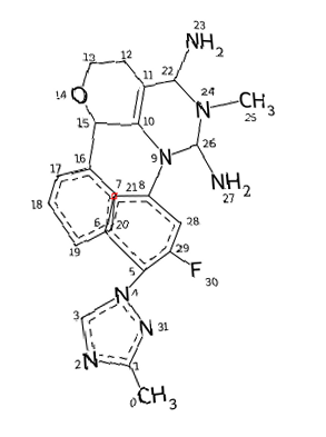 Cc1ncn(-c2ccc(N3C4=C(CCOC4c4ccccc4)C(N)N(C)C3N)cc2F)n1